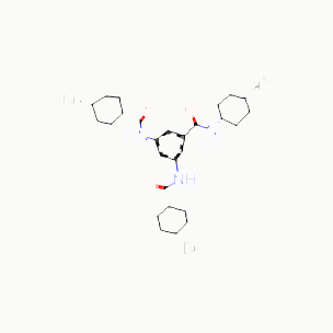 CC(C)[C@H]1CC[C@@H](NC(=O)c2cc(NC(=O)[C@H]3CC[C@@H](C(C)(C)C)CC3)cc(NC(=O)[C@H]3CC[C@@H](C(C)(C)C)CC3)c2)CC1